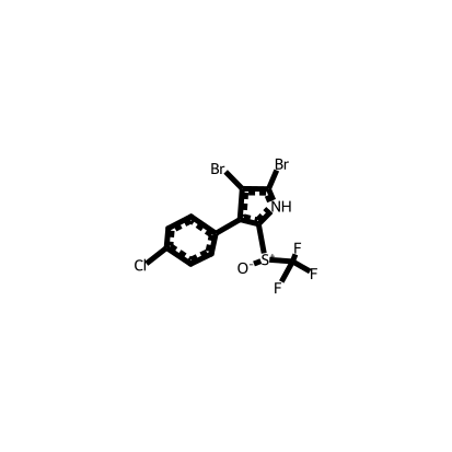 [O-][S+](c1[nH]c(Br)c(Br)c1-c1ccc(Cl)cc1)C(F)(F)F